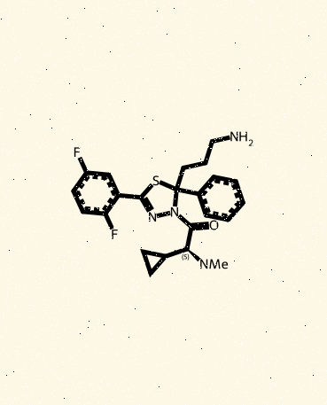 CN[C@H](C(=O)N1N=C(c2cc(F)ccc2F)SC1(CCCN)c1ccccc1)C1CC1